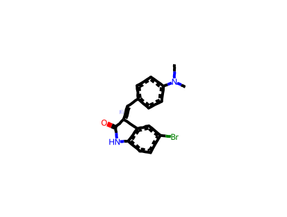 CN(C)c1ccc(/C=C2/C(=O)Nc3ccc(Br)cc32)cc1